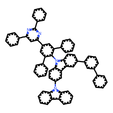 c1ccc(-c2cccc(-c3ccc4c(c3)c3cc(-n5c6ccccc6c6ccccc65)ccc3n4-c3c(-c4ccccc4)cc(-c4cc(-c5ccccc5)nc(-c5ccccc5)n4)cc3-c3ccccc3)c2)cc1